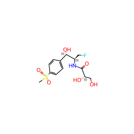 CS(=O)(=O)c1ccc([C@H](O)[C@@H](CF)NC(=O)[C@@H](O)CO)cc1